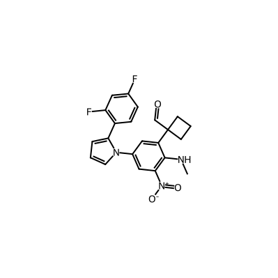 CNc1c([N+](=O)[O-])cc(-n2cccc2-c2ccc(F)cc2F)cc1C1(C=O)CCC1